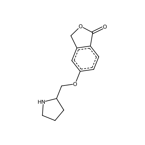 O=C1OCc2cc(OCC3CCCN3)ccc21